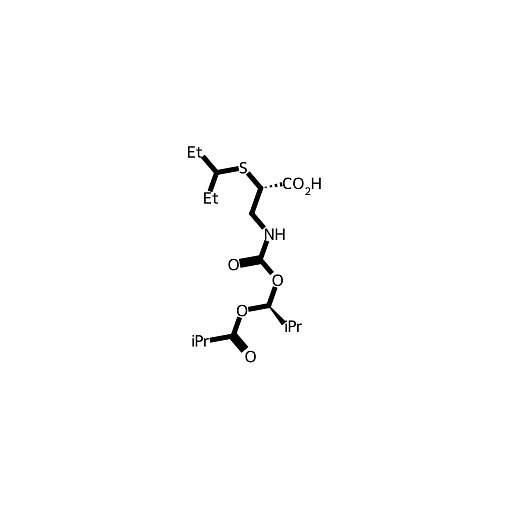 CCC(CC)S[C@@H](CNC(=O)O[C@H](OC(=O)C(C)C)C(C)C)C(=O)O